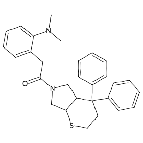 CN(C)c1ccccc1CC(=O)N1CC2SCCC(c3ccccc3)(c3ccccc3)C2C1